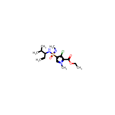 C=CC(NS(=O)(=NC)c1cn(C)c(C(=O)OCC)c1Cl)C(C)C